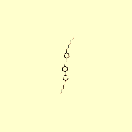 CCCCCCCc1ccc(COc2ccc(-c3ncc(CCCCCC)cn3)cc2)cc1